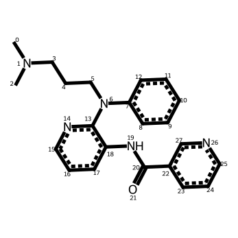 CN(C)CCCN(c1ccccc1)c1ncccc1NC(=O)c1cccnc1